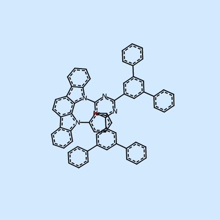 c1ccc(-c2cc(-c3ccccc3)cc(-c3nc(-c4cc(-c5ccccc5)cc(-c5ccccc5)c4)nc(-n4c5ccccc5c5ccc6c7ccccc7n(-c7ccccc7)c6c54)n3)c2)cc1